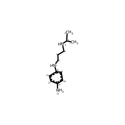 CC(C)NCCCNc1ccc(N)cc1